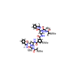 CN[C@@H](C)C(=O)N[C@H](C(=O)N1C[C@@H](NC(=O)c2cc(OC)cc(C(=O)N[C@H]3C[C@@H](C(=O)N[C@H](C)c4ccccc4)N(C(=O)[C@@H](NC(=O)[C@H](C)NC)C(C)(C)C)C3)c2)C[C@H]1C(=O)N[C@H](C)c1ccccc1)C(C)(C)C